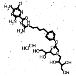 Cl.Cl.NC(=NC(=O)c1nc(Cl)c(N)nc1N)NCCCCc1ccc(OCCN(CC(O)C(O)CO)CC(O)C(O)CO)cc1